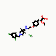 CCO[C@@H](Cc1ccc(OCCN[C@H]2[C@@H]3CN(Cc4ccc(F)cc4F)C[C@@H]32)cc1)C(=O)O.Cl.Cl